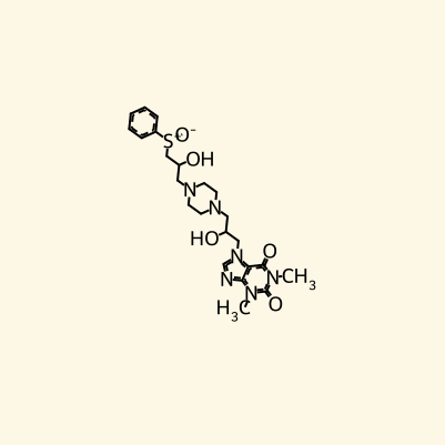 Cn1c(=O)c2c(ncn2CC(O)CN2CCN(CC(O)C[S+]([O-])c3ccccc3)CC2)n(C)c1=O